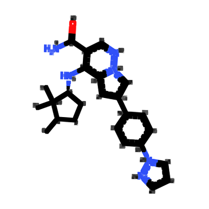 CC1CC[C@@H](Nc2c(C(N)=O)cnn3cc(-c4ccc(-n5cccn5)cc4)cc23)C1(C)C